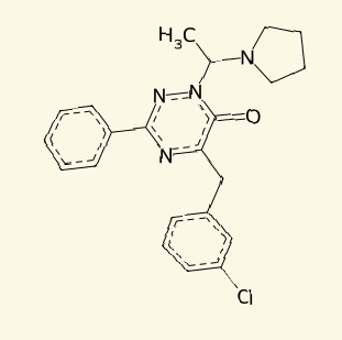 CC(N1CCCC1)n1nc(-c2ccccc2)nc(Cc2cccc(Cl)c2)c1=O